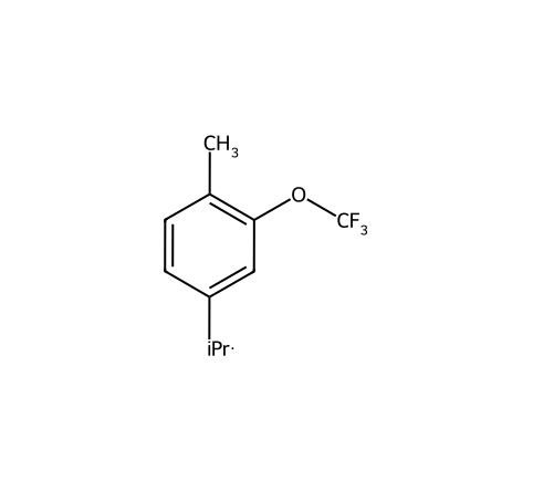 C[C](C)c1ccc(C)c(OC(F)(F)F)c1